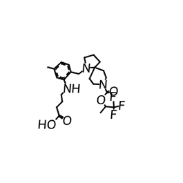 Cc1ccc(CN2CCCC23CCN(C(=O)OC(C)C(F)(F)F)CC3)c(NCCCC(=O)O)c1